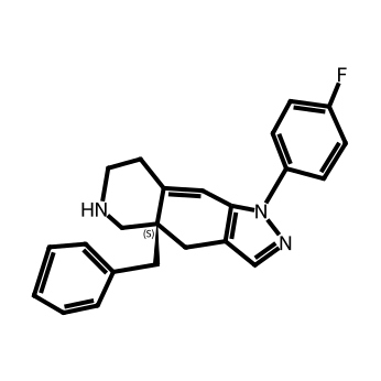 Fc1ccc(-n2ncc3c2C=C2CCNC[C@@]2(Cc2ccccc2)C3)cc1